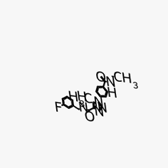 CCNC(=O)c1ccc(-n2nnc(C(=O)NCc3cccc(F)c3)c2C)cc1